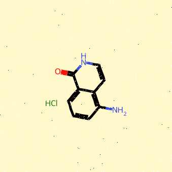 Cl.Nc1cccc2c(=O)[nH]ccc12